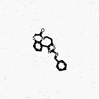 O=C1CSc2cccc3c2N1CCc1sc(N=Cc2ccccc2)nc1-3